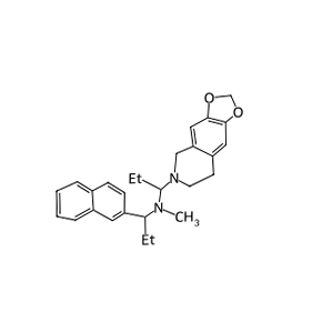 CCC(c1ccc2ccccc2c1)N(C)C(CC)N1CCc2cc3c(cc2C1)OCO3